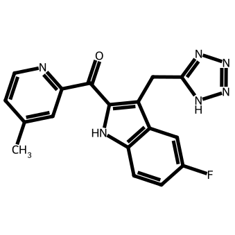 Cc1ccnc(C(=O)c2[nH]c3ccc(F)cc3c2Cc2nnn[nH]2)c1